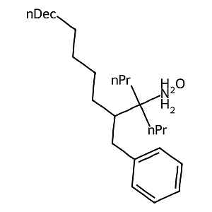 CCCCCCCCCCCCCCC(Cc1ccccc1)C(N)(CCC)CCC.O